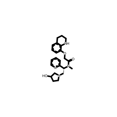 CN(C(=O)COc1cccc2c1NCCC2)[C@H](CN1CCC(O)C1)c1ccccn1